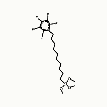 CO[Si](CCCCCCCCCCc1c(F)c(F)c(F)c(F)c1F)(OC)OC